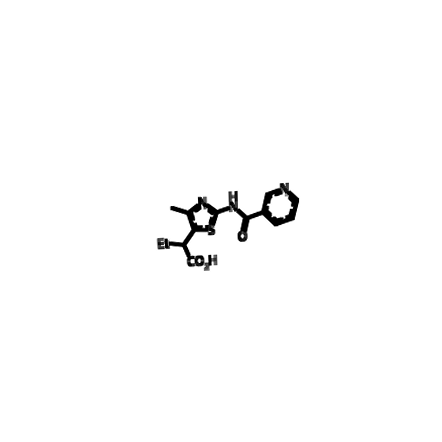 CCC(C(=O)O)c1sc(NC(=O)c2cccnc2)nc1C